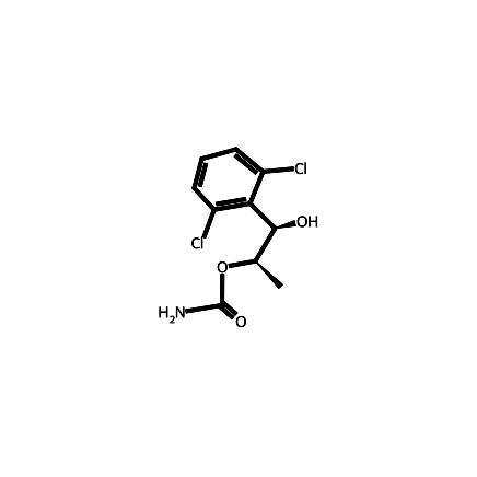 C[C@@H](OC(N)=O)[C@H](O)c1c(Cl)cccc1Cl